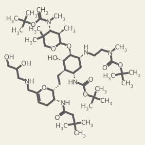 C=C(OC(C)(C)C)N(C)[C@@H]1[C@@H](C)C(O[C@@H]2[C@@H](O)[C@H](CC[C@H]3OC(CNCC(O)CO)=CC[C@H]3NC(=O)CC(C)(C)C)[C@@H](NC(=O)OC(C)(C)C)C[C@H]2NCCN(C)C(=O)OC(C)(C)C)OCC1(C)C